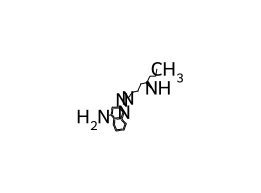 CCCC(=N)CCCN=Nc1cc(N)c2ccccc2n1